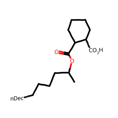 CCCCCCCCCCCCCCC(C)OC(=O)C1CCCCC1C(=O)O